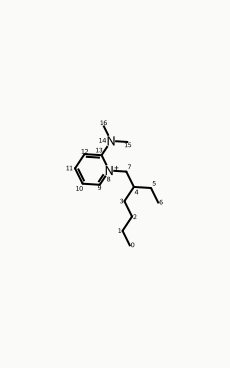 CCCCC(CC)C[n+]1ccccc1N(C)C